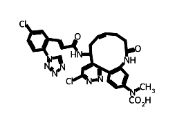 CN(C(=O)O)c1ccc2c(c1)NC(=O)CCC=CCC(NC(=O)C=Cc1cc(Cl)ccc1-n1cnnn1)c1cc(Cl)nnc1-2